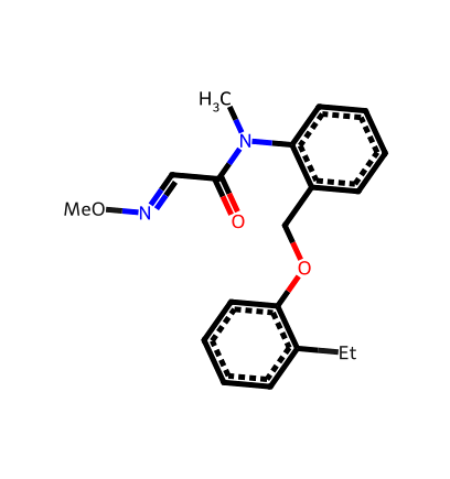 CCc1ccccc1OCc1ccccc1N(C)C(=O)C=NOC